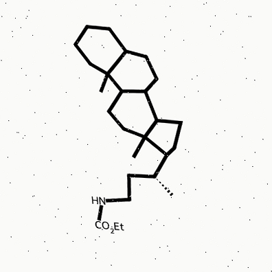 CCOC(=O)NCC[C@@H](C)C1CCC2C3CCC4CCCCC4(C)C3CCC21C